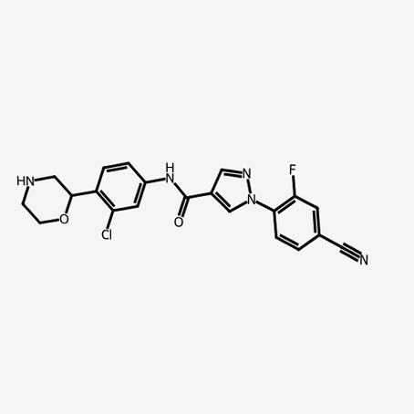 N#Cc1ccc(-n2cc(C(=O)Nc3ccc(C4CNCCO4)c(Cl)c3)cn2)c(F)c1